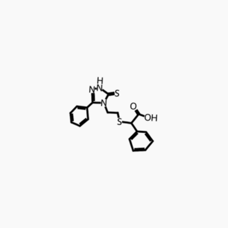 O=C(O)C(SCCn1c(-c2ccccc2)n[nH]c1=S)c1ccccc1